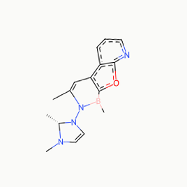 CB1c2oc3ncccc3c2C=C(C)N1N1C=CN(C)[C@@H]1C